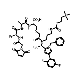 CC(C)[C@H](NC(=O)CN1C(=O)C=CC1=O)C(=O)N[C@@H](C)C(=O)N[C@@H](CSCC(=O)N(CCCNC(=O)OCC[Si](C)(C)C)[C@@H](c1cc(-c2cc(F)ccc2F)cn1Cc1ccccc1)C(C)(C)C)C(=O)O